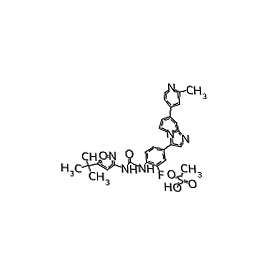 CS(=O)(=O)O.Cc1cc(-c2ccn3c(-c4ccc(NC(=O)Nc5cc(C(C)(C)C)on5)c(F)c4)cnc3c2)ccn1